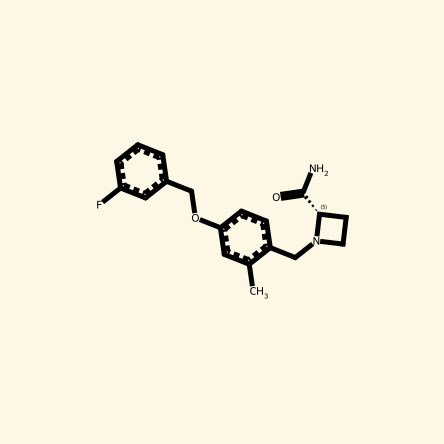 Cc1cc(OCc2cccc(F)c2)ccc1CN1CC[C@H]1C(N)=O